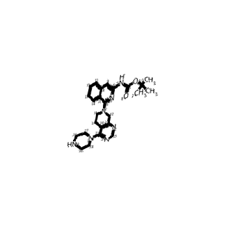 CC(C)(C)OC(=O)Nc1cc2ccccc2c(N2CCc3c(ncnc3N3CCNCC3)C2)n1